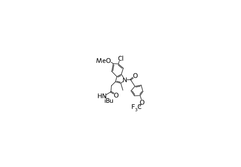 CCC(C)NC(=O)Cc1c(C)n(C(=O)c2ccc(OC(F)(F)F)cc2)c2cc(Cl)c(OC)cc12